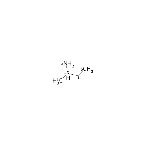 CC[SH](C)N